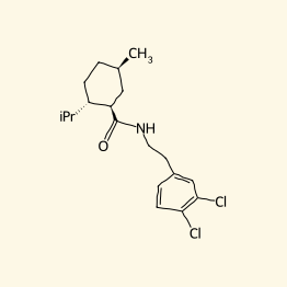 CC(C)[C@@H]1CC[C@@H](C)C[C@H]1C(=O)NCCc1ccc(Cl)c(Cl)c1